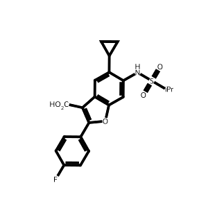 CC(C)S(=O)(=O)Nc1cc2oc(-c3ccc(F)cc3)c(C(=O)O)c2cc1C1CC1